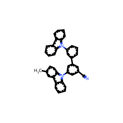 Cc1ccc2c(c1)c1ccccc1n2-c1cc(C#N)cc(-c2cccc(-n3c4ccccc4c4ccccc43)c2)c1